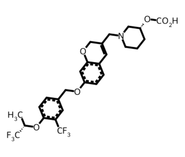 C[C@H](Oc1ccc(COc2ccc3c(c2)OCC(CN2CCC[C@@H](OC(=O)O)C2)=C3)cc1C(F)(F)F)C(F)(F)F